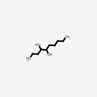 CCCCCC(O)C(O)CCO